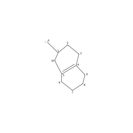 [CH2]C1CCC2=C(CCCC2)C1